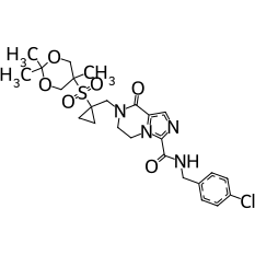 CC1(C)OCC(C)(S(=O)(=O)C2(CN3CCn4c(cnc4C(=O)NCc4ccc(Cl)cc4)C3=O)CC2)CO1